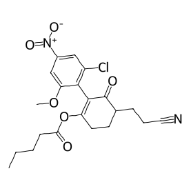 CCCCC(=O)OC1=C(c2c(Cl)cc([N+](=O)[O-])cc2OC)C(=O)C(CCC#N)CC1